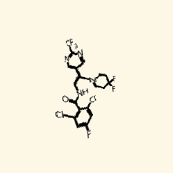 O=C(NCC(c1cnc(C(F)(F)F)nc1)N1CCC(F)(F)CC1)c1c(Cl)cc(F)cc1Cl